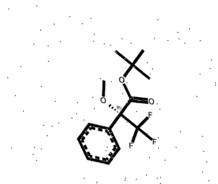 CO[C@@](C(=O)OC(C)(C)C)(c1ccccc1)C(F)(F)F